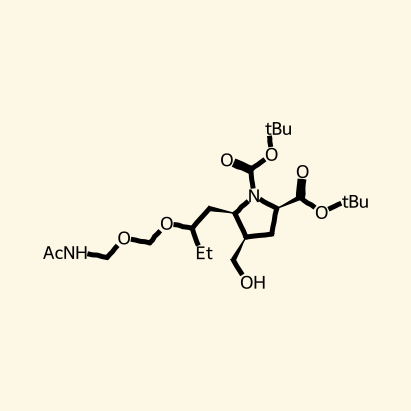 CCC(C[C@@H]1[C@H](CO)C[C@H](C(=O)OC(C)(C)C)N1C(=O)OC(C)(C)C)OCOCNC(C)=O